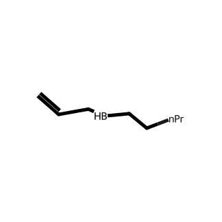 C=CCBCCCCC